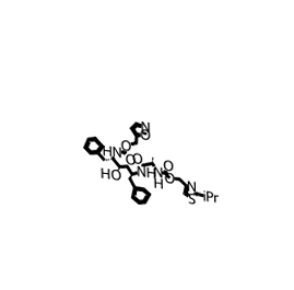 CC(C)c1nc(COC(=O)N[C@@H](C)C(=O)N[C@@H](Cc2ccccc2)C[C@H](O)[C@H](Cc2ccccc2)NC(=O)OCc2ccno2)cs1